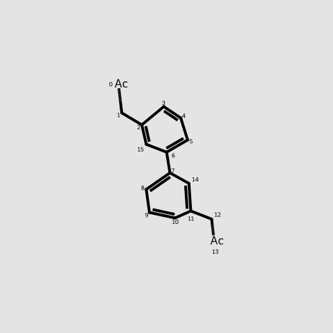 CC(=O)Cc1cccc(-c2cccc(CC(C)=O)c2)c1